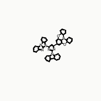 c1ccc2c(c1)Oc1cc(-c3cc(-n4c5ccccc5n5c6ccccc6nc45)nc(-n4c5ccccc5c5ccccc54)n3)cc3c1B2c1ccccc1O3